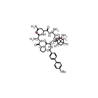 CCCCc1ccc(-c2ccc(C(=O)N[C@@H](CCCCN)C(=O)N3CCC[C@H]3C(=O)N[C@@H](N)C(=O)NC(CC(N)=O)C(=O)N[C@@H](N)B3OC4C[C@@H]5C[C@@H](C5(C)C)[C@]4(C)O3)cc2)cc1